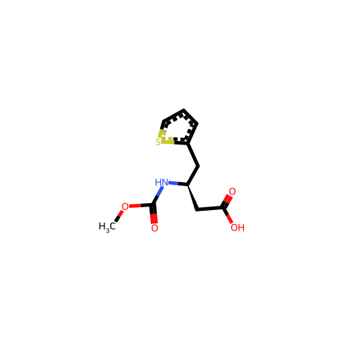 COC(=O)N[C@H](CC(=O)O)Cc1cccs1